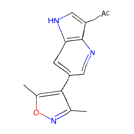 CC(=O)c1c[nH]c2cc(-c3c(C)noc3C)cnc12